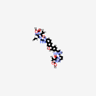 CCC[C@H](CC)N(Cc1nc2ccc3cc4c(cc3c2[nH]1)OCc1cc(-c2cnc([C@@H]3CC[C@H](C)N3C(=O)[C@@H](NC(=O)OC)C(C)C)[nH]2)ccc1-4)C(=O)[C@@H](NC(=O)OC)C(C)C